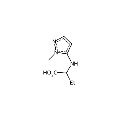 CCC(Nc1ccnn1C)C(=O)O